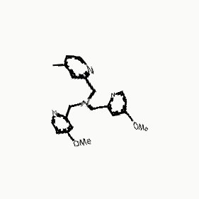 COc1ccnc(CN(Cc2cc(C)ccn2)Cc2cc(OC)ccn2)c1